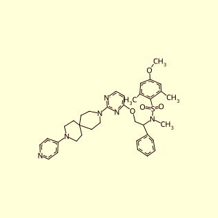 COc1cc(C)c(S(=O)(=O)N(C)C(COc2ccnc(N3CCC4(CCN(c5ccncc5)CC4)CC3)n2)c2ccccc2)c(C)c1